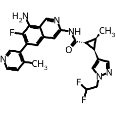 Cc1ccncc1-c1cc2cc(NC(=O)[C@@H]3[C@@H](C)[C@H]3c3cnn(CC(F)F)c3)ncc2c(N)c1F